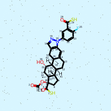 CCC(=O)O[C@]1(C(=O)S)CC[C@H]2[C@@H]3CCC4=Cc5c(cnn5-c5ccc(F)c(C(=O)S)c5)C[C@]4(C)[C@H]3[C@@H](O)C[C@@]21C